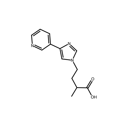 CC(CCn1cnc(-c2cccnc2)c1)C(=O)O